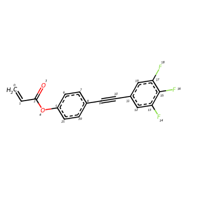 C=CC(=O)Oc1ccc(C#Cc2cc(F)c(F)c(F)c2)cc1